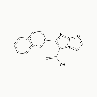 O=C(O)c1c(-c2ccc3ccccc3c2)nc2occn12